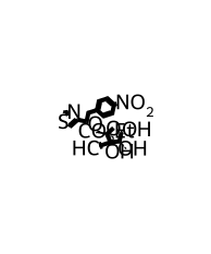 C#C[C@@]1(O)[C@@H](COC(Cc2ccc([N+](=O)[O-])cc2)(C(=O)OCC)c2cscn2)OC(O)[C@@H]1O